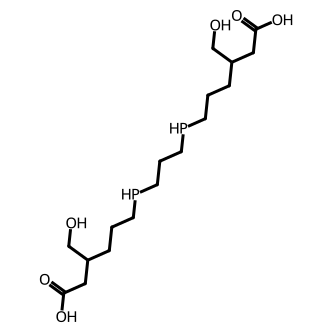 O=C(O)CC(CO)CCCPCCCPCCCC(CO)CC(=O)O